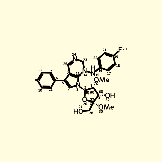 CO[C@H]1[C@H](n2cc(-c3ccccc3)c3c2N(Nc2ccc(F)cc2)CN=C3)O[C@@](CO)(OC)[C@H]1O